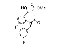 COC(=O)C1=C(O)c2ccc(F)cc2N(Cc2ccc(C)c(F)c2)C(=O)C1